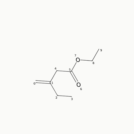 C=C(CC)CC(=O)OCC